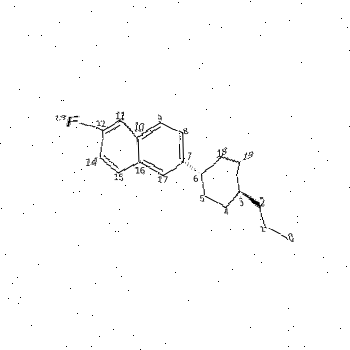 CCC[C@H]1CC[C@H](c2ccc3cc(F)ccc3c2)CC1